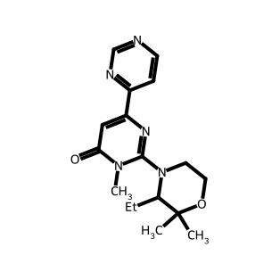 CCC1N(c2nc(-c3ccncn3)cc(=O)n2C)CCOC1(C)C